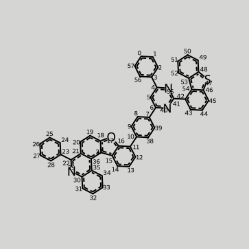 c1ccc(-c2cc(-c3ccc(-c4cccc5c4oc4ccc6c(-c7ccccc7)nc7ccccc7c6c45)cc3)nc(-c3cccc4sc5ccccc5c34)n2)cc1